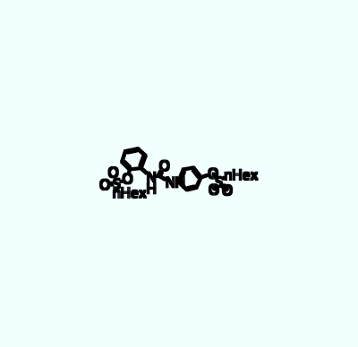 CCCCCCS(=O)(=O)Oc1ccc(NC(=O)Nc2ccccc2OS(=O)(=O)CCCCCC)cc1